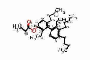 CCCCc1ccc(-c2c(CCCC)ccc(OC(=O)CC)c2CC)c(CC)c1CCCC